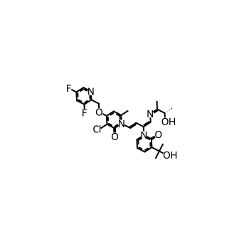 C/C(=N/C=C(\C=C\n1c(C)cc(OCc2ncc(F)cc2F)c(Cl)c1=O)n1cccc(C(C)(C)O)c1=O)[C@H](C)O